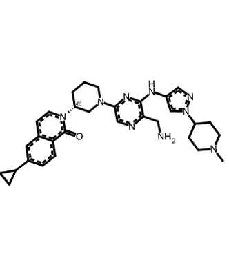 CN1CCC(n2cc(Nc3nc(N4CCC[C@@H](n5ccc6cc(C7CC7)ccc6c5=O)C4)cnc3CN)cn2)CC1